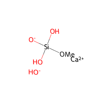 CO[Si]([O-])(O)O.[Ca+2].[OH-]